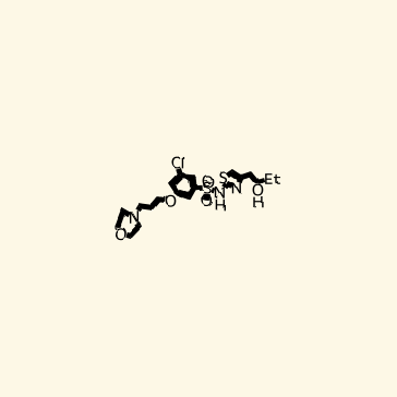 CCC(O)Cc1csc(NS(=O)(=O)c2cc(Cl)cc(OCCCN3CCOCC3)c2)n1